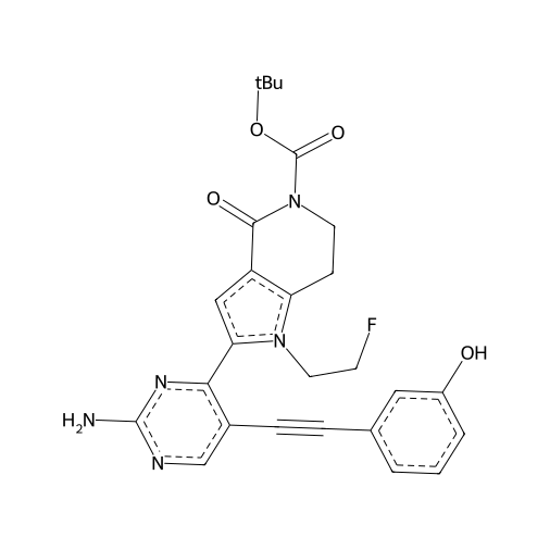 CC(C)(C)OC(=O)N1CCc2c(cc(-c3nc(N)ncc3C#Cc3cccc(O)c3)n2CCF)C1=O